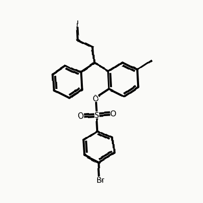 Cc1ccc(OS(=O)(=O)c2ccc(Br)cc2)c(C(CCI)c2ccccc2)c1